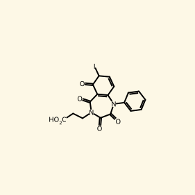 O=C(O)CCn1c(=O)c2c(n(-c3ccccc3)c(=O)c1=O)C=CC(I)C2=O